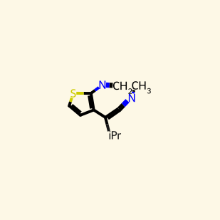 C=Nc1sccc1C(=C=NC)C(C)C